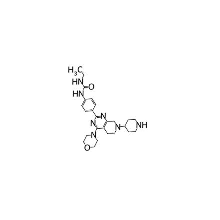 CCNC(=O)Nc1ccc(-c2nc3c(c(N4CCOCC4)n2)CCN(C2CCNCC2)C3)cc1